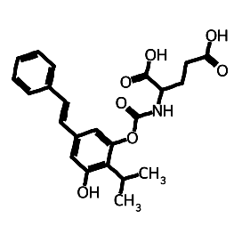 CC(C)c1c(O)cc(/C=C/c2ccccc2)cc1OC(=O)NC(CCC(=O)O)C(=O)O